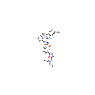 COc1ccc(C)c(Nc2nc3ccccc3nc2NS(=O)(=O)c2cccc(-c3nnc(CN(C)C)o3)c2)c1